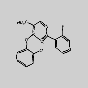 O=C(O)c1cnc(-c2ccccc2F)nc1Oc1ccccc1Cl